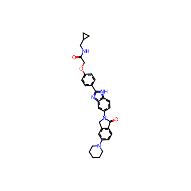 O=C(COc1ccc(-c2nc3cc(N4Cc5cc(N6CCCCC6)ccc5C4=O)ccc3[nH]2)cc1)NCC1CC1